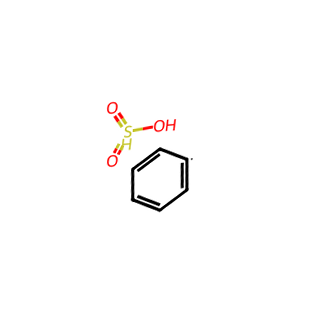 O=[SH](=O)O.[c]1ccccc1